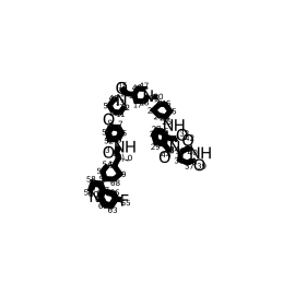 C[C@@H](C(=O)Nc1ccc(OC2CCN(C(=O)C3CCN(C[C@H]4CC[C@H](Nc5cccc6c5C(=O)N(C5CCC(=O)NC5=O)C6=O)CC4)CC3)CC2)cc1)[C@H]1CC[C@@H](c2ccnc3ccc(F)cc32)CC1